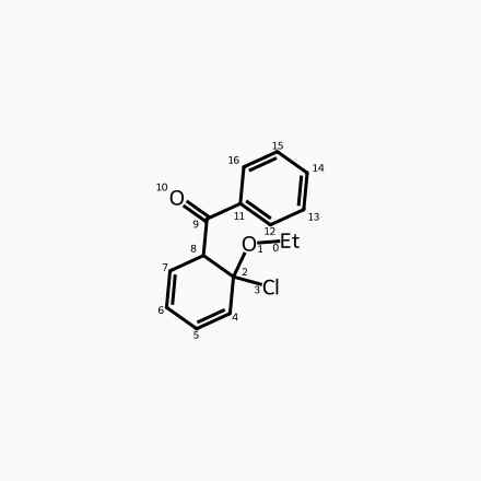 CCOC1(Cl)C=CC=CC1C(=O)c1ccccc1